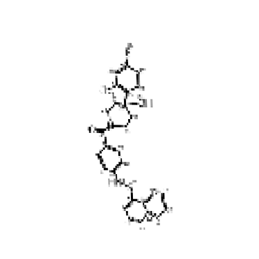 O=C(c1ccc(NSc2cccc3cccnc23)cc1)N1CCC(O)(c2ccc(F)cc2Cl)CC1